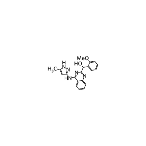 COc1ccccc1C(O)c1nc(Nc2cc(C)[nH]n2)c2ccccc2n1